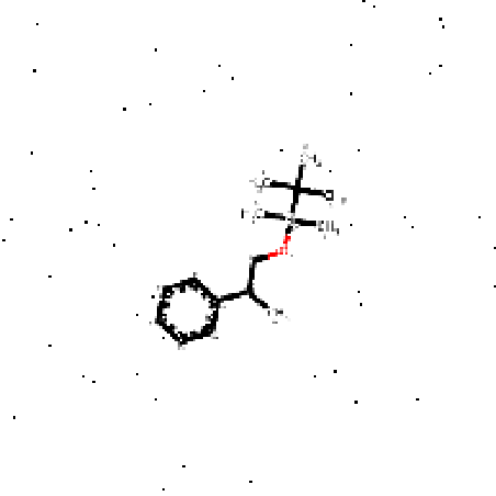 CC(CO[Si](C)(C)C(C)(C)C)c1ccccc1